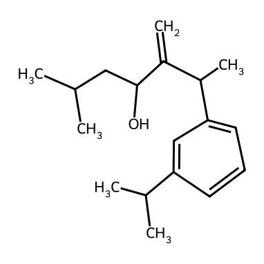 C=C(C(O)CC(C)C)C(C)c1cccc(C(C)C)c1